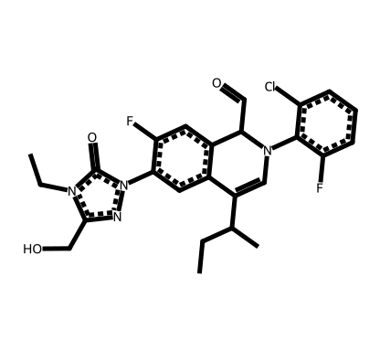 CCC(C)C1=CN(c2c(F)cccc2Cl)C(C=O)c2cc(F)c(-n3nc(CO)n(CC)c3=O)cc21